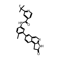 Cc1ccc(NC(=O)c2ccnc(C(C)(C)F)c2)cc1-c1ccc2c3c(ncc2c1)NC(=O)C3